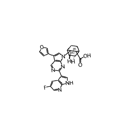 O=C(O)[C@@H]1C2CCC(CC2)[C@H]1n1cc(-c2ccoc2)c2cnc(-c3c[nH]c4ncc(F)cc34)nc21